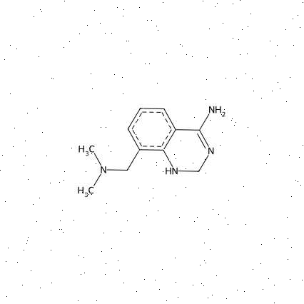 CN(C)Cc1cccc2c1NCN=C2N